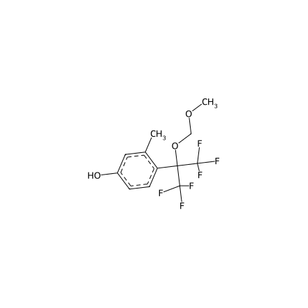 COCOC(c1ccc(O)cc1C)(C(F)(F)F)C(F)(F)F